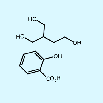 O=C(O)c1ccccc1O.OCCC(CO)CO